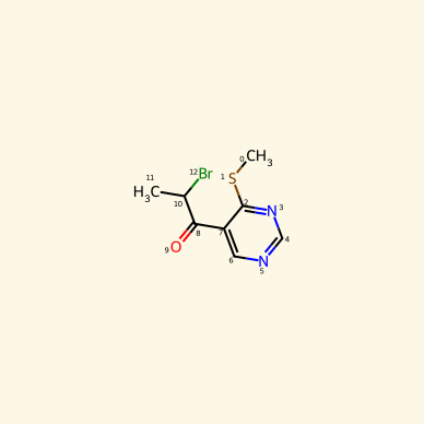 CSc1ncncc1C(=O)C(C)Br